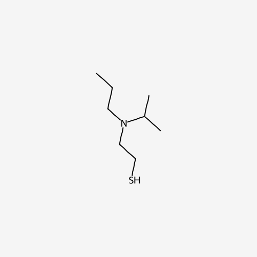 CCCN(CCS)C(C)C